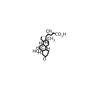 C[C@H](CCC(=O)O)[C@H]1CC[C@H]2[C@@H]3C[C@H](O)[C@@H]4CC(=O)CC[C@]4(C)[C@H]3CC[C@]12C